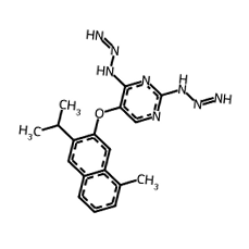 Cc1cccc2cc(C(C)C)c(Oc3cnc(NN=N)nc3NN=N)cc12